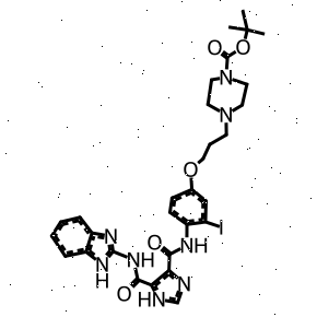 CC(C)(C)OC(=O)N1CCN(CCCOc2ccc(NC(=O)c3nc[nH]c3C(=O)Nc3nc4ccccc4[nH]3)c(I)c2)CC1